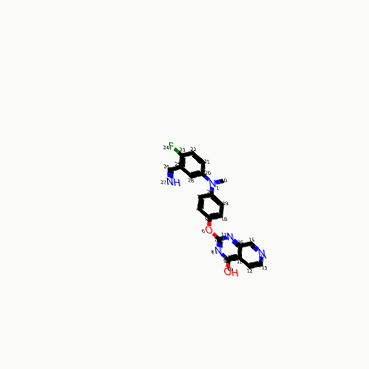 CN(c1ccc(Oc2nc(O)c3ccncc3n2)cc1)c1ccc(F)c(C=N)c1